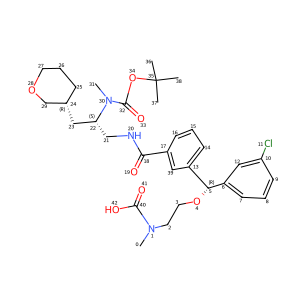 CN(CCO[C@@H](c1cccc(Cl)c1)c1cccc(C(=O)NC[C@H](C[C@H]2CCCOC2)N(C)C(=O)OC(C)(C)C)c1)C(=O)O